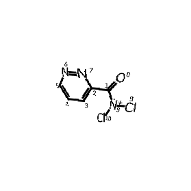 O=C(c1cccnn1)[N+](Cl)Cl